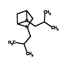 CC(C)CN1CC2CC1N2CC(C)C